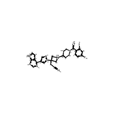 N#CCC1(n2cc(-c3ncnc4[nH]ccc34)cn2)CN(C2CCN(C(=O)c3ccc(F)cc3F)CC2)C1